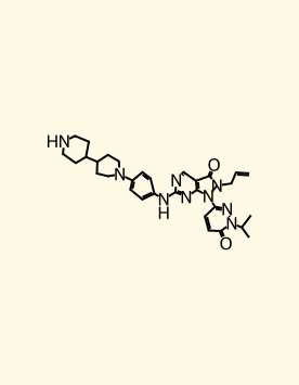 C=CCn1c(=O)c2cnc(Nc3ccc(N4CCC(C5CCNCC5)CC4)cc3)nc2n1-c1ccc(=O)n(C(C)C)n1